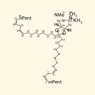 CCCCC/C=C\C/C=C\CCCCCCCCC1(CCCCCCCC/C=C\C/C=C\CCCCC)O[C@H]2C[C@@H](N(C)C)[C@@H](NC)C[C@H]2O1